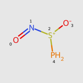 O=N[S+]([O-])P